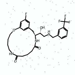 O=C1CCCC(=O)N[C@H]([C@H](O)CNCc2cccc(C(F)(F)F)c2)Cc2cc(F)cc(c2)OCCCCN1